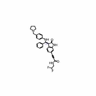 O=C(C#Cc1ccc2c(c1)NC(=O)/C2=C(\Nc1ccc(CN2CCCC2)cc1)c1ccccc1)NCC(F)F